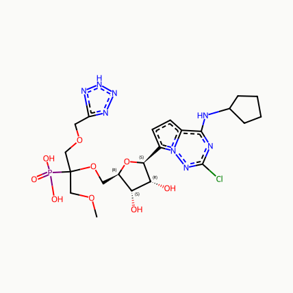 COCC(COCc1nn[nH]n1)(OC[C@H]1O[C@@H](c2ccc3c(NC4CCCC4)nc(Cl)nn23)[C@H](O)[C@@H]1O)P(=O)(O)O